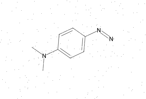 CN(C)c1ccc(N=[N])cc1